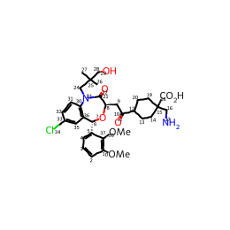 COc1cccc([C@H]2O[C@H](CC(=O)C3CCC(CN)(C(=O)O)CC3)C(=O)N(CC(C)(C)CO)c3ccc(Cl)cc32)c1OC